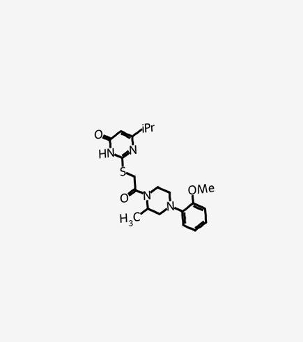 COc1ccccc1N1CCN(C(=O)CSc2nc(C(C)C)cc(=O)[nH]2)C(C)C1